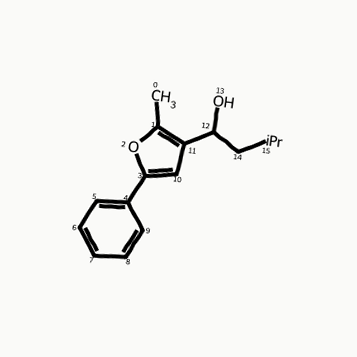 Cc1oc(-c2ccccc2)cc1C(O)CC(C)C